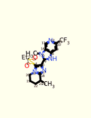 CCS(=O)(=O)c1c(C2Nc3cc(C(F)(F)F)ncc3N2C)nc2n1CCCC2C